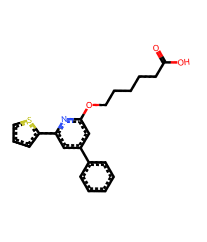 O=C(O)CCCCCOc1cc(-c2ccccc2)cc(-c2cccs2)n1